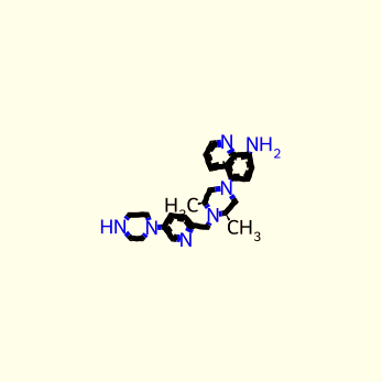 C[C@@H]1CN(c2ccc(N)c3ncccc23)C[C@H](C)N1Cc1ccc(N2CCNCC2)cn1